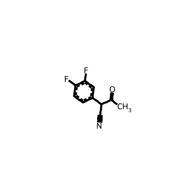 CC(=O)C(C#N)c1ccc(F)c(F)c1